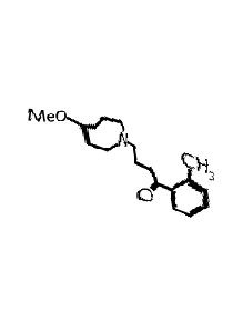 COC1CCN(CCCC(=O)c2ccccc2C)CC1